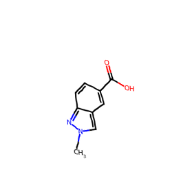 Cn1cc2cc(C(=O)O)ccc2n1